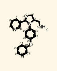 NCC1CSC(c2cccnc2)N1c1ccc(Oc2ccccc2)cc1